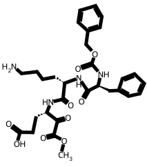 COC(=O)C(=O)[C@H](CCC(=O)O)NC(=O)[C@H](CCCCN)NC(=O)[C@H](Cc1ccccc1)NC(=O)OCc1ccccc1